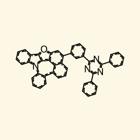 c1ccc(-c2nc(-c3ccccc3)nc(-c3cccc(-c4cc5oc6c7ccccc7n7c8ccccc8c8cccc4c8c5c67)c3)n2)cc1